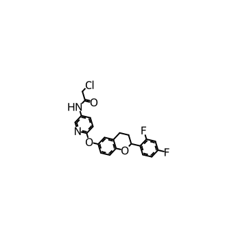 O=C(CCl)Nc1ccc(Oc2ccc3c(c2)CCC(c2ccc(F)cc2F)O3)nc1